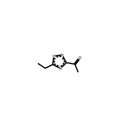 CCc1nc(C(C)=O)no1